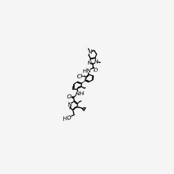 Cc1c(NC(=O)c2ncc(CO)c(C3CC3)c2C)cccc1-c1cccc(NC(=O)c2nc3c(n2C)CCN(C)C3)c1Cl